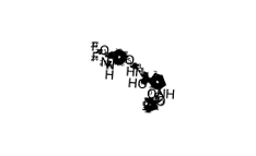 O=S(=O)(Nc1cccc(C(O)CNCCOc2ccc3c(OC(F)F)n[nH]c3c2)c1)c1ccsc1